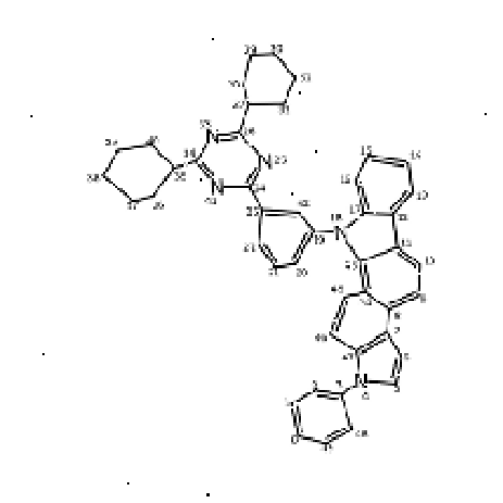 c1ccc(-n2ccc3c4ccc5c6ccccc6n(-c6cccc(-c7nc(C8CCCCC8)nc(C8CCCCC8)n7)c6)c5c4ccc32)cc1